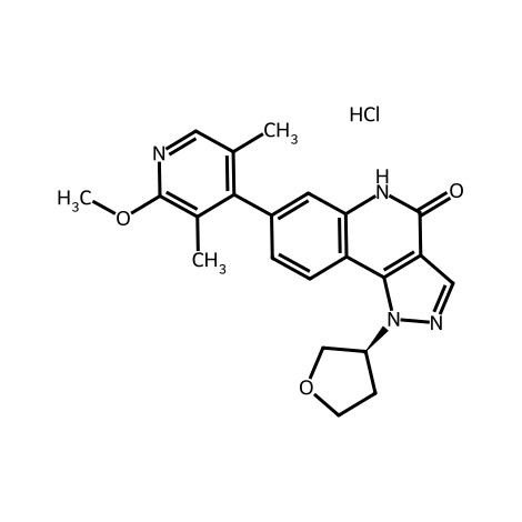 COc1ncc(C)c(-c2ccc3c(c2)[nH]c(=O)c2cnn([C@H]4CCOC4)c23)c1C.Cl